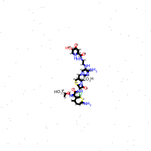 CC1CC=C(N)SC(Cl)=C1/C(=N/OC(C)C(=O)O)C(=O)N[C@@H]1C(=O)N2C(C(=O)O)=C(C[n+]3cnc(N)c(NCCNC(=O)c4cc(=O)c(O)c[nH]4)c3)CSC12